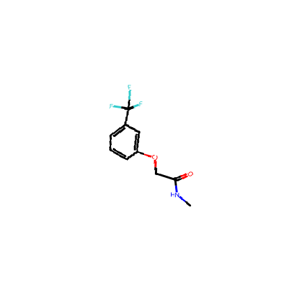 CNC(=O)COc1cccc(C(F)(F)F)c1